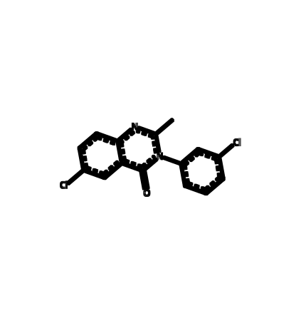 Cc1nc2ccc(Cl)cc2c(=O)n1-c1cccc(Cl)c1